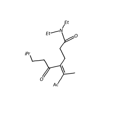 CCN(CC)C(=O)CC/C(C(=O)CCC(C)C)=C(\C)C(C)=O